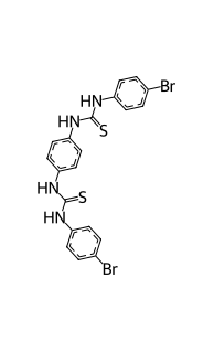 S=C(Nc1ccc(Br)cc1)Nc1ccc(NC(=S)Nc2ccc(Br)cc2)cc1